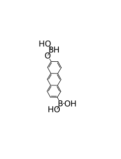 OBOc1ccc2cc3cc(B(O)O)ccc3cc2c1